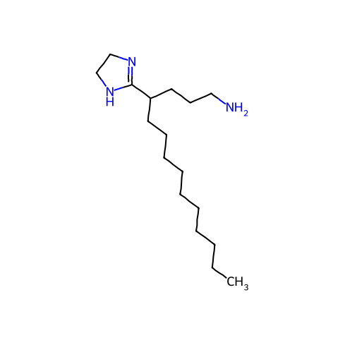 CCCCCCCCCCC(CCCN)C1=NCCN1